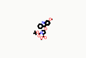 COC(=O)[C@@H]1C[C@@H](Oc2c3c(nc4cc(OC)ccc24)CCCC3)CN1C(=O)OC(C)(C)C